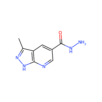 Cc1n[nH]c2ncc(C(=O)NN)cc12